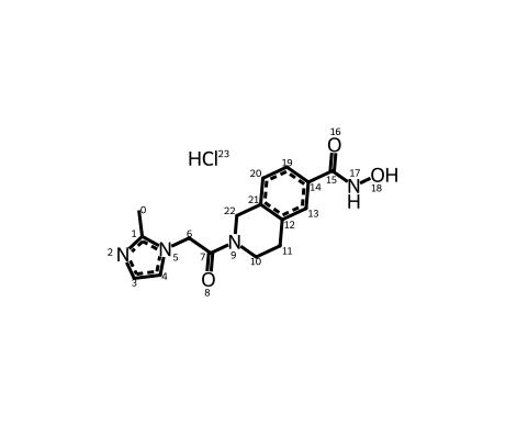 Cc1nccn1CC(=O)N1CCc2cc(C(=O)NO)ccc2C1.Cl